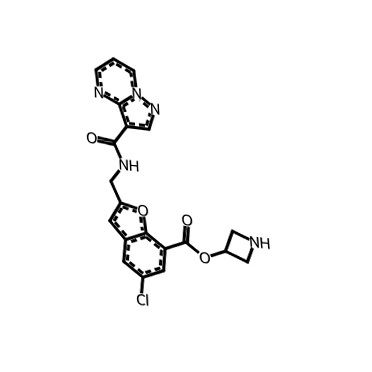 O=C(OC1CNC1)c1cc(Cl)cc2cc(CNC(=O)c3cnn4cccnc34)oc12